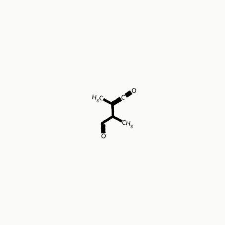 CC(=C=O)C(C)C=O